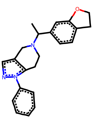 CC(c1ccc2c(c1)OCC2)N1CCc2c(cnn2-c2ccccc2)C1